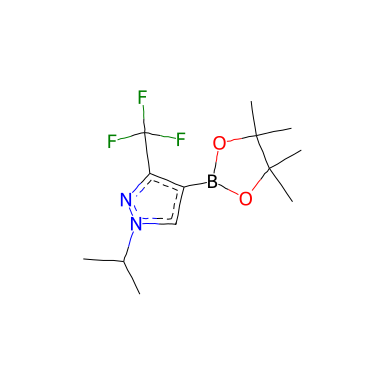 CC(C)n1cc(B2OC(C)(C)C(C)(C)O2)c(C(F)(F)F)n1